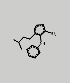 CC(C)CCc1cccc(N)c1Nc1ccccc1